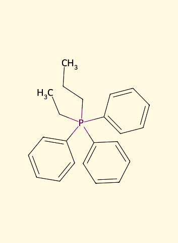 CCCP(CC)(c1ccccc1)(c1ccccc1)c1ccccc1